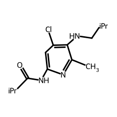 Cc1nc(NC(=O)C(C)C)cc(Cl)c1NCC(C)C